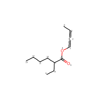 CC=C=COC(=O)C(CC)CCCC